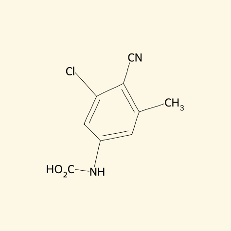 Cc1cc(NC(=O)O)cc(Cl)c1C#N